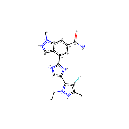 CCn1nc(C)c(F)c1-c1c[nH]c(-c2cc(C(N)=O)cc3c2cnn3C)n1